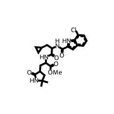 COC(=O)C(CC1CC(C)(C)NC1=O)NC(=O)C(CC1CC1)NC(=O)c1cc2cccc(Cl)c2[nH]1